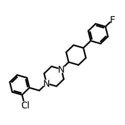 Fc1ccc(C2CCC(N3CCN(Cc4ccccc4Cl)CC3)CC2)cc1